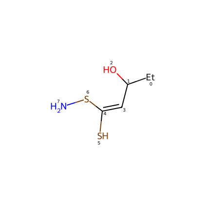 CCC(O)/C=C(/S)SN